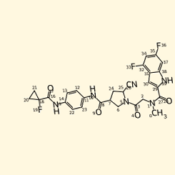 CN(CC(=O)N1CC(C(=O)Nc2ccc(NC(=O)C3(F)CC3)cc2)CC1C#N)C(=O)c1cc2c(F)cc(F)cc2[nH]1